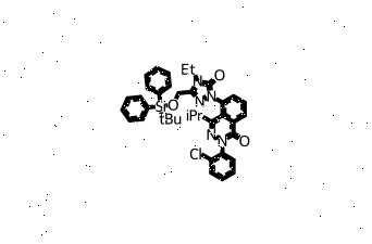 CCn1c(CO[Si](c2ccccc2)(c2ccccc2)C(C)(C)C)nn(-c2cccc3c(=O)n(-c4ccccc4Cl)nc(C(C)C)c23)c1=O